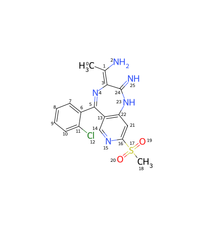 C/C(N)=C1\N=C(c2ccccc2Cl)c2cnc(S(C)(=O)=O)cc2NC1=N